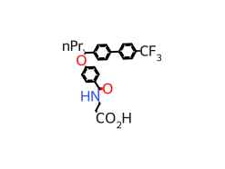 CCC[C@@H](Oc1ccc(C(=O)NCCC(=O)O)cc1)c1ccc(-c2ccc(C(F)(F)F)cc2)cc1